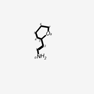 N/C=C/C1CCCCO1